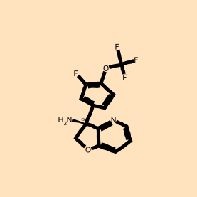 N[C@]1(c2ccc(OC(F)(F)F)c(F)c2)COc2cccnc21